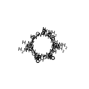 CC(C)[C@@H]1NC(=O)[C@H](Cc2cn(C)c3ccccc23)NC(=O)[C@H](CC(N)=O)NC(=O)[C@H](CCCC(N)=O)NC(=O)[C@H](C2CCC2)NC(=O)[C@H](CC(N)=O)NC(=O)[C@H](Cc2cccnc2)N(C)C(=O)[C@@H](C)NC(=O)CSC[C@@H](C(N)=O)NC(=O)[C@H](CCCC(N)=O)NC(=O)[C@H]([C@@H](C)O)NC(=O)[C@H](Cc2cn(C)c3ccccc23)NC1=O